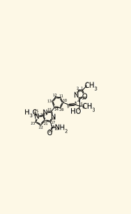 Cc1cnc(C(C)(O)C#Cc2cccc(-c3nc(C(N)=O)c4ccn(C)c4n3)c2)o1